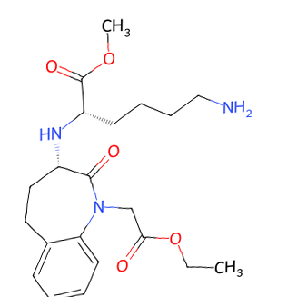 CCOC(=O)CN1C(=O)[C@@H](N[C@@H](CCCCN)C(=O)OC)CCc2ccccc21